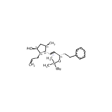 C=CC[C@@H]1[C@@H](/C=C/[C@H](CCc2ccccc2)O[Si](C)(C)C(C)(C)C)[C@H](C)C[C@@H]1O